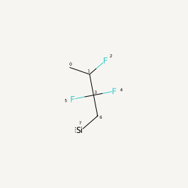 CC(F)C(F)(F)C[Si]